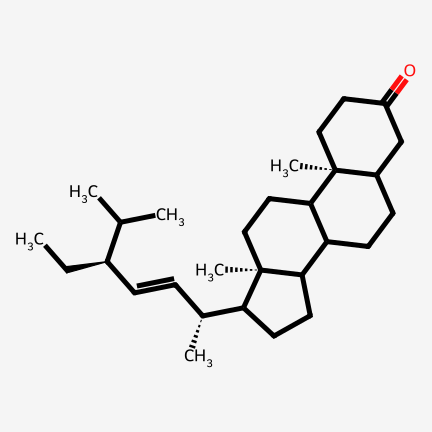 CC[C@H](/C=C/[C@@H](C)C1CCC2C3CCC4CC(=O)CC[C@]4(C)C3CC[C@@]21C)C(C)C